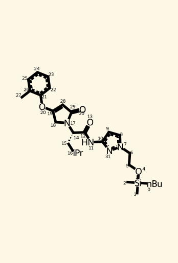 CCCC[Si](C)(C)OCCn1ccc(NC(=O)[C@H](CC(C)C)N2CC(Oc3ccccc3C)=CC2=O)n1